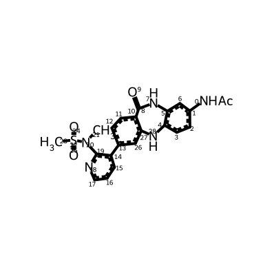 CC(=O)Nc1ccc2c(c1)NC(=O)c1ccc(-c3cccnc3N(C)S(C)(=O)=O)cc1N2